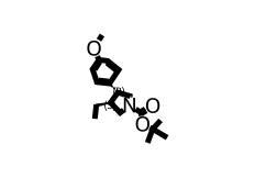 CC[C@@H]1CN(C(=O)OC(C)(C)C)C[C@H]1c1ccc(OC)cc1